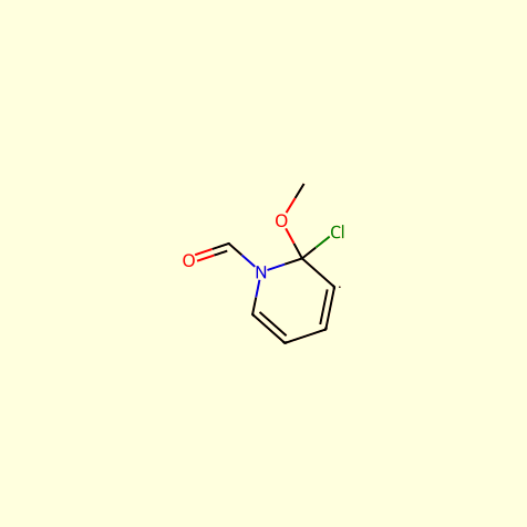 COC1(Cl)[C]=CC=CN1C=O